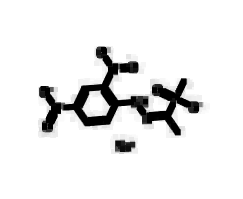 CC(=NNc1ccc([N+](=O)[O-])cc1[N+](=O)[O-])P(C)(=O)[O-].[Na+]